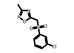 Cc1noc(CS(=O)(=O)c2cccc(Cl)c2)n1